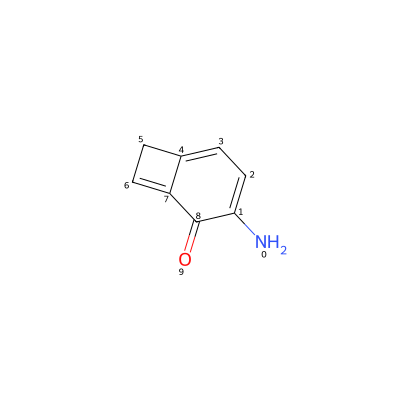 NC1=CC=C2CC=C2C1=O